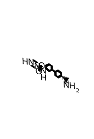 N[C@H]1C[C@@H]1c1ccc(-c2cccc(NS(=O)(=O)N3CCNCC3)c2)cc1